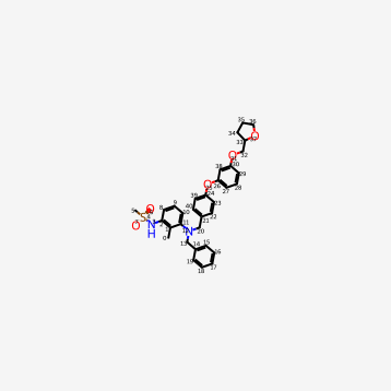 Cc1c(NS(C)(=O)=O)cccc1N(Cc1ccccc1)Cc1ccc(Oc2cccc(OCC3CCCO3)c2)cc1